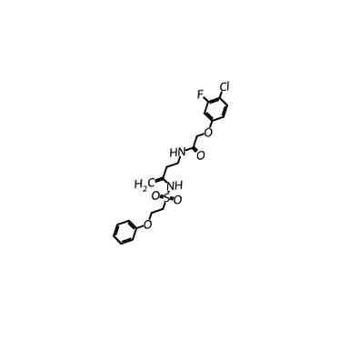 C=C(CCNC(=O)COc1ccc(Cl)c(F)c1)NS(=O)(=O)CCOc1ccccc1